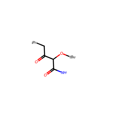 CC(C)CC(=O)C(OC(C)(C)C)C([NH])=O